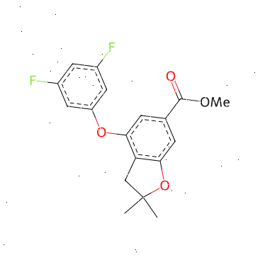 COC(=O)c1cc(Oc2cc(F)cc(F)c2)c2c(c1)OC(C)(C)C2